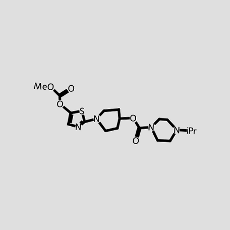 COC(=O)Oc1cnc(N2CCC(OC(=O)N3CCN(C(C)C)CC3)CC2)s1